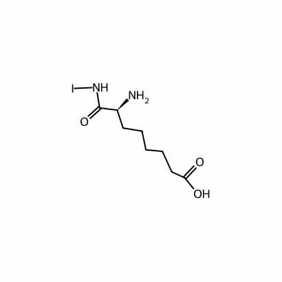 N[C@@H](CCCCCC(=O)O)C(=O)NI